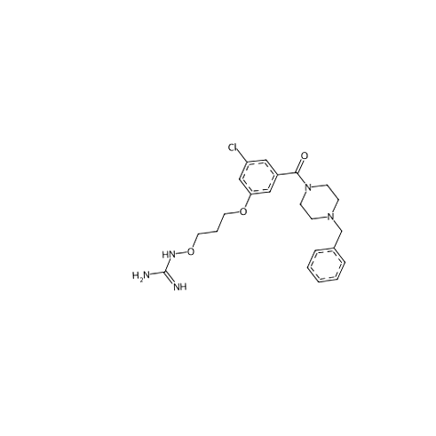 N=C(N)NOCCCOc1cc(Cl)cc(C(=O)N2CCN(Cc3ccccc3)CC2)c1